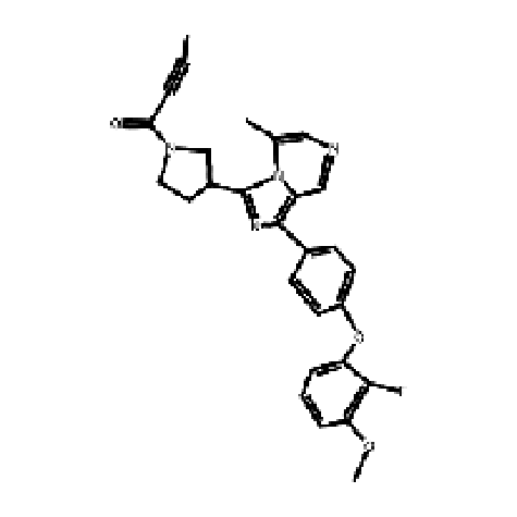 CC#CC(=O)N1CCC(c2nc(-c3ccc(Oc4cccc(OC)c4F)cc3)c3cncc(C)n23)C1